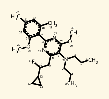 CCCN(CCC)c1c(CC(F)C2CC2)nc(-c2c(C)cc(C)cc2OC)nc1OC